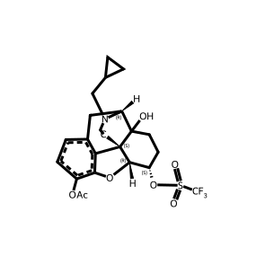 CC(=O)Oc1ccc2c3c1O[C@H]1[C@@H](OS(=O)(=O)C(F)(F)F)CCC4(O)[C@@H](C2)N(CC2CC2)CC[C@]314